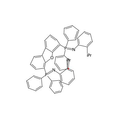 CC(C)c1ccccc1N=P(c1ccccc1)(c1ccccc1)c1cccc2c1oc1c(P(=Nc3ccccc3C(C)C)(c3ccccc3)c3ccccc3)cccc12